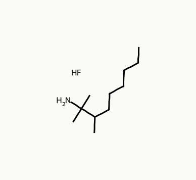 CCCCCCC(C)C(C)(C)N.F